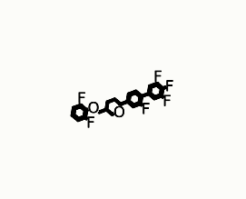 Fc1cc(C2CCC(COc3c(F)cccc3F)CO2)ccc1-c1cc(F)c(F)c(F)c1